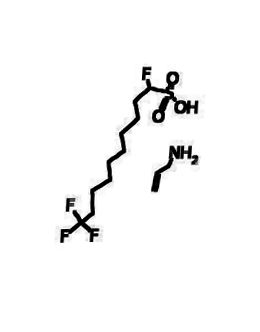 C=CCN.O=S(=O)(O)C(F)CCCCCCCCC(F)(F)F